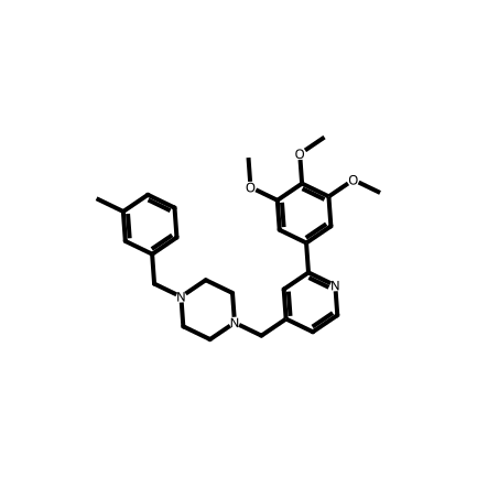 COc1cc(-c2cc(CN3CCN(Cc4cccc(C)c4)CC3)ccn2)cc(OC)c1OC